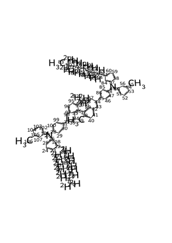 [2H]C([2H])C([2H])([2H])C([2H])([2H])C([2H])([2H])C([2H])([2H])C([2H])([2H])C([2H])([2H])Cc1cccc(N(c2ccc(-c3ccc4c(-c5c(C)ccc6cc(-c7ccc(N(c8cccc(C)c8)c8cccc(C([2H])([2H])C([2H])([2H])C([2H])([2H])C([2H])([2H])C([2H])([2H])C([2H])([2H])C([2H])([2H])C)c8)cc7)ccc56)c(C([2H])([2H])[2H])ccc4c3)cc2)c2cccc(C)c2)c1